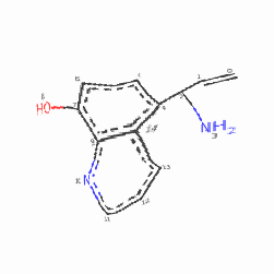 C=CC(N)c1ccc(O)c2ncccc12